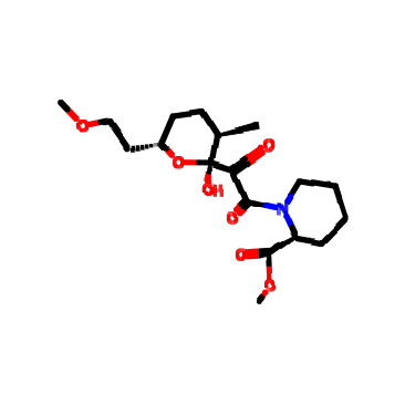 COCC[C@@H]1CC[C@@H](C)[C@](O)(C(=O)C(=O)N2CCCC[C@H]2C(=O)OC)O1